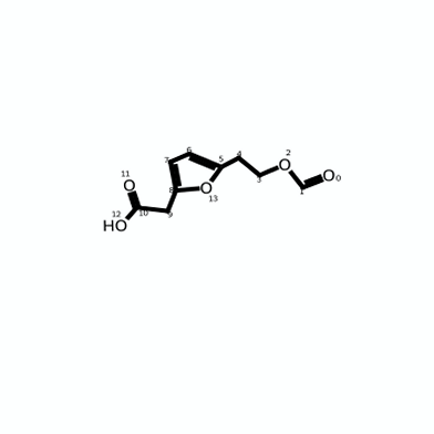 O=COCCc1ccc(CC(=O)O)o1